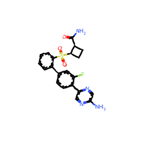 NC(=O)C1CCC1S(=O)(=O)c1ccccc1-c1ccc(-c2cnc(N)cn2)c(F)c1